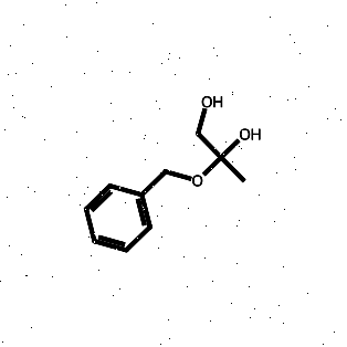 CC(O)(CO)OCc1ccccc1